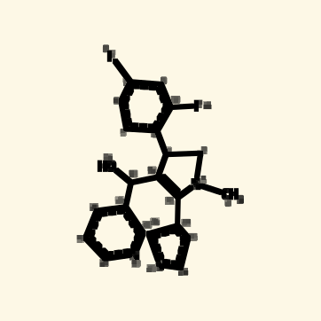 CN1CC(c2ccc(F)cc2F)C(C(O)c2cccnc2)=C1c1ccsc1